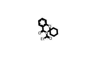 CCC(=O)N1C(=O)c2ccccc2OC12CCCCC2